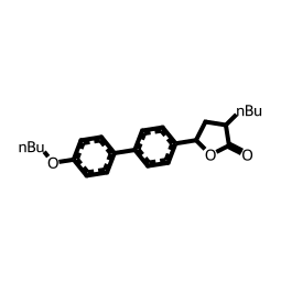 CCCCOc1ccc(-c2ccc(C3CC(CCCC)C(=O)O3)cc2)cc1